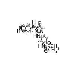 CC1(C)Oc2ccc(Nc3ncc(F)c(Nc4ccc5[nH]ncc5c4)n3)cc2NC1=O